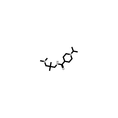 CC(C)N1CCC(C(=O)NCC(C)(C)CN(C)C)CC1